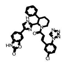 O=C(/C=C/c1cc(Cl)ccc1-n1cnnn1)N1CCCC(c2ccccc2)C1c1nc(-c2ccc3[nH]c(=O)oc3c2)c[nH]1